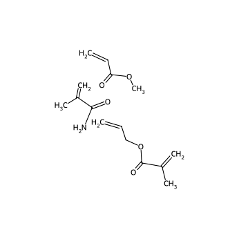 C=C(C)C(N)=O.C=CC(=O)OC.C=CCOC(=O)C(=C)C